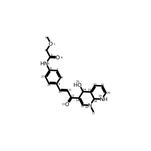 COCC(=O)Nc1ccc(C=CC(=O)C2=CN(C)C3NC=CC=C3C2O)cc1